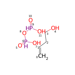 C=CCCO.O=[PH](O)O[PH](=O)O